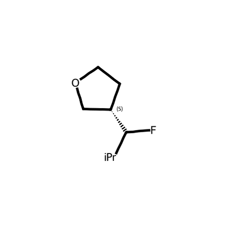 CC(C)C(F)[C@H]1CCOC1